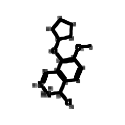 COc1ccc2c(c1OC1CCCC1)C=NNC2Cl